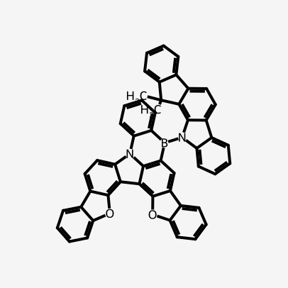 CC1(C)c2ccccc2-c2ccc3c4ccccc4n(B4c5ccccc5-n5c6ccc7c8ccccc8oc7c6c6c7oc8ccccc8c7cc4c65)c3c21